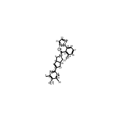 CCc1c(C)nc(C2=CC3CN(C(=O)c4c(F)cccc4-n4nccn4)CC3C2)nc1C